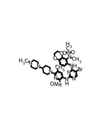 COc1nc(N2CCC(N3CCN(C)CC3)CC2)c(C)cc1Nc1ncc(Br)c(Nc2ccc3c(c2N(C)S(C)(=O)=O)OCCO3)n1